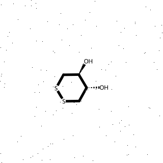 O[C@@H]1CSSC[C@H]1O